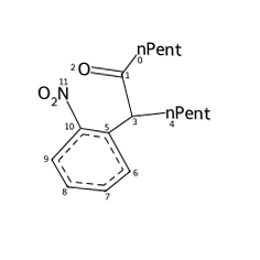 CCCCCC(=O)C(CCCCC)c1ccccc1[N+](=O)[O-]